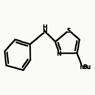 CCCCc1csc(Nc2ccccc2)n1